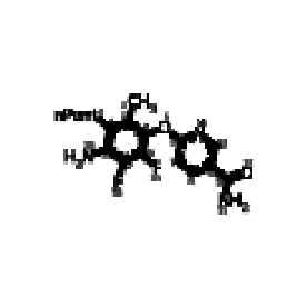 CCCCCc1c(C)c(Oc2ccc(C(N)=O)cn2)c(F)c(F)c1N